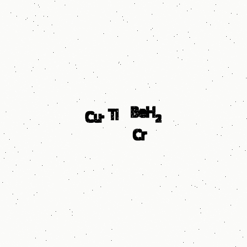 [BeH2].[Cr].[Cu].[Ti]